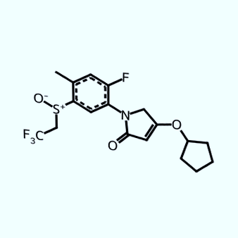 Cc1cc(F)c(N2CC(OC3CCCC3)=CC2=O)cc1[S+]([O-])CC(F)(F)F